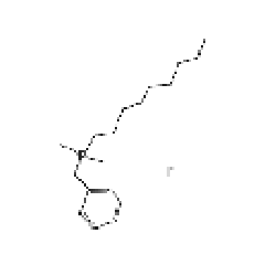 CCCCCCCCC[P+](C)(C)Cc1ccccc1.[I-]